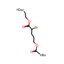 CCCCCCCCCCCCOC(=O)C(Br)CCCOC(=O)CCCC